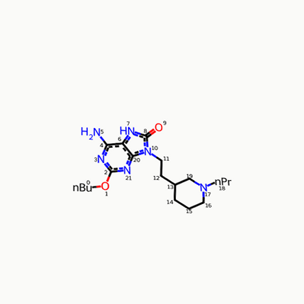 CCCCOc1nc(N)c2[nH]c(=O)n(CCC3CCCN(CCC)C3)c2n1